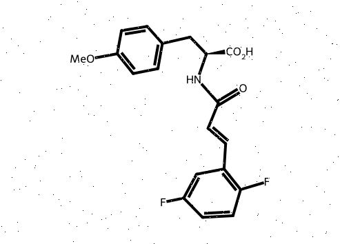 COc1ccc(C[C@H](NC(=O)C=Cc2cc(F)ccc2F)C(=O)O)cc1